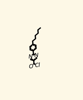 CCCCCCc1ccc(-c2ncc(C(=O)Cl)cn2)cc1